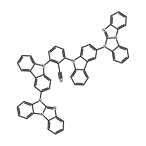 N#Cc1c(-n2c3ccccc3c3cc(-n4c5ccccc5n5c6ccccc6nc45)ccc32)cccc1-n1c2ccccc2c2cc(-n3c4ccccc4n4c5ccccc5nc34)ccc21